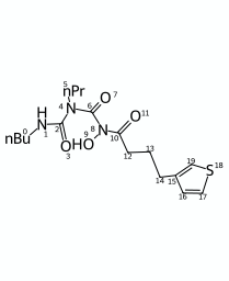 CCCCNC(=O)N(CCC)C(=O)N(O)C(=O)CCCc1ccsc1